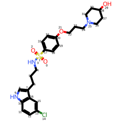 O=S(=O)(NCCCc1c[nH]c2ccc(Cl)cc12)c1ccc(OCCCN2CCC(O)CC2)cc1